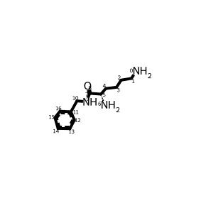 NCCCC[C@H](N)C(=O)NCc1ccccc1